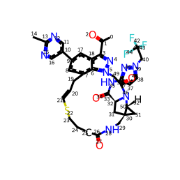 CC(=O)c1nn2c3c(cc(-c4cnc(C)nc4)cc13)C/C=C/SCCCC(=O)NC[C@@]13C[C@@H](C(=O)Nc4ccn(CC(F)(F)F)n4)N(C(=O)C2)[C@@H]1C3